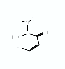 C=C(/C=C\CC)N(C)N(C)C